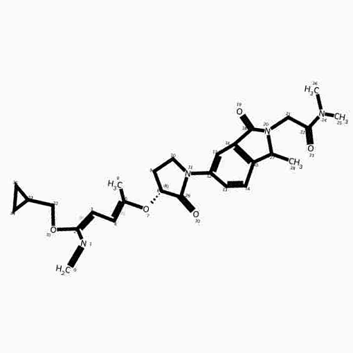 C=N/C(=C\C=C(/C)O[C@@H]1CCN(c2ccc3c(c2)C(=O)N(CC(=O)N(C)C)C3C)C1=O)OCC1CC1